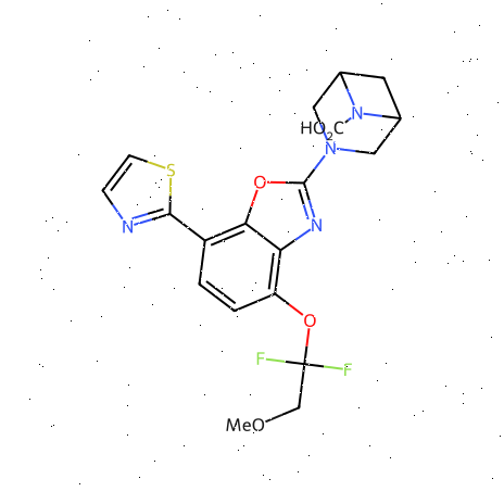 COCC(F)(F)Oc1ccc(-c2nccs2)c2oc(N3CC4CC(C3)N4C(=O)O)nc12